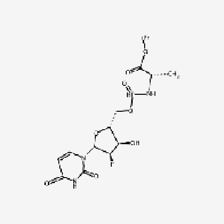 CC(C)OC(=O)[C@H](C)N[PH](=O)OC[C@H]1O[C@@H](n2ccc(=O)[nH]c2=O)[C@H](F)[C@@H]1O